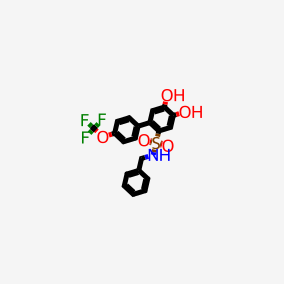 O=S(=O)(NCc1ccccc1)c1cc(O)c(O)cc1-c1ccc(OC(F)(F)F)cc1